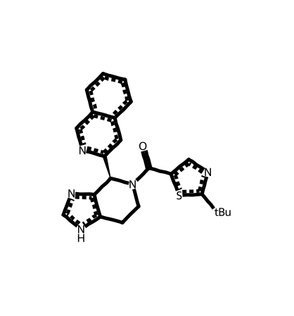 CC(C)(C)c1ncc(C(=O)N2CCc3[nH]cnc3[C@H]2c2cc3ccccc3cn2)s1